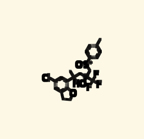 Cc1ccc([S+]([O-])C[C@@](O)(CC(C)(C)c2cc(Cl)cc3c2OCC3)C(F)(F)F)cc1